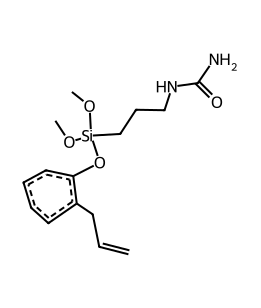 C=CCc1ccccc1O[Si](CCCNC(N)=O)(OC)OC